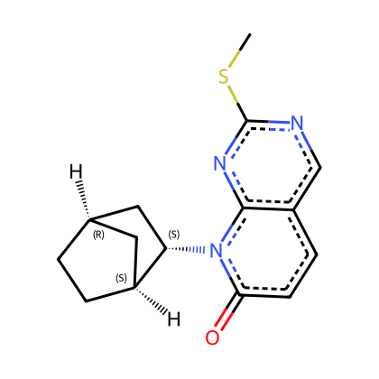 CSc1ncc2ccc(=O)n([C@H]3C[C@@H]4CC[C@H]3C4)c2n1